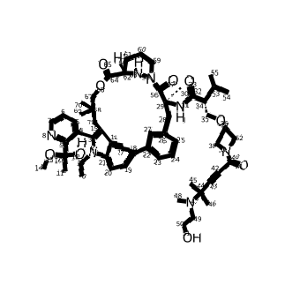 CCn1c(-c2cccnc2C(C)(O)OC)c2c3cc(ccc31)-c1cccc(c1)C[C@](C)(NC(=O)[C@@H](COC1CN(C(=O)C#CC(C)(C)N(C)CCO)C1)C(C)C)C(=O)N1CCC[C@H](N1)C(=O)OCC(C)(C)C2